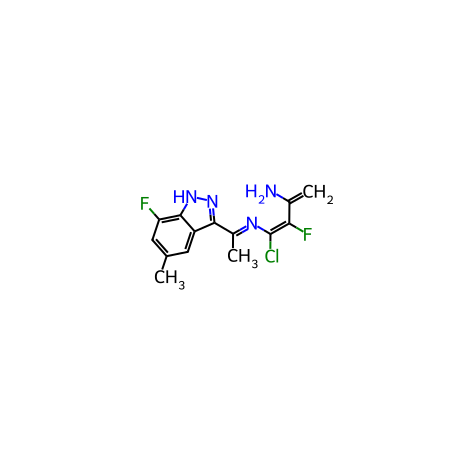 C=C(N)/C(F)=C(Cl)\N=C(/C)c1n[nH]c2c(F)cc(C)cc12